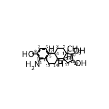 C[C@]12CC[C@@H]3c4ccc(O)c(N)c4CC[C@H]3[C@@H]1C[C@@H](O)[C@@H]2O